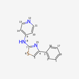 [c]1ccc(-c2csc(Nc3ccncc3)n2)cc1